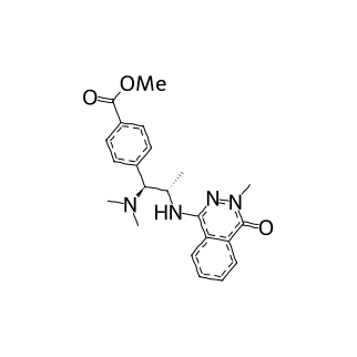 COC(=O)c1ccc([C@@H]([C@H](C)Nc2nn(C)c(=O)c3ccccc23)N(C)C)cc1